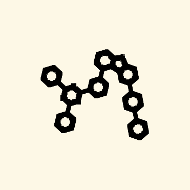 c1ccc(-c2ccc(-c3ccc4sc5cccc(-c6cccc(-c7nc(-c8ccccc8)nc(-c8ccccc8)n7)c6)c5c4c3)cc2)cc1